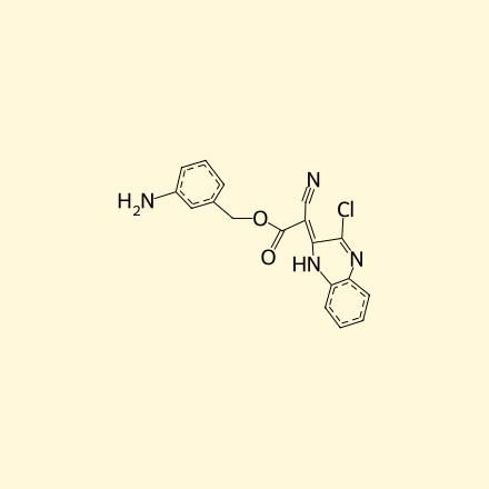 N#CC(C(=O)OCc1cccc(N)c1)=C1Nc2ccccc2N=C1Cl